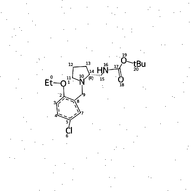 CCOc1ccc(Cl)cc1CN1CCC[C@@H]1CNC(=O)OC(C)(C)C